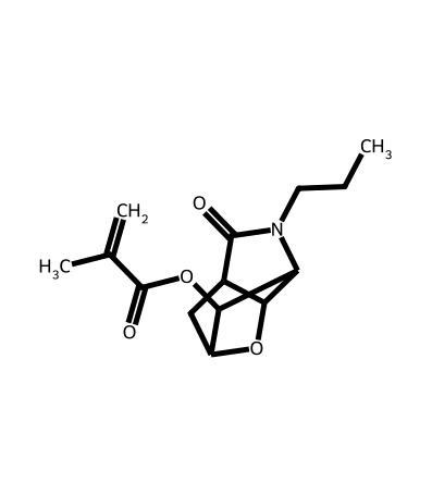 C=C(C)C(=O)OC1C2CC3C(=O)N(CCC)C1C3O2